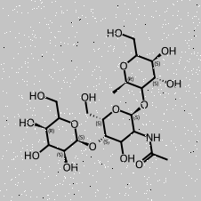 CC(=O)NC1C(O)[C@H](O[C@@H]2OC(CO)[C@H](O)C(O)[C@@H]2O)[C@H](CO)O[C@H]1OC1[C@@H](O)[C@H](O)C(CO)O[C@@H]1C